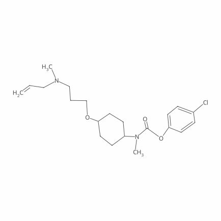 C=CCN(C)CCCOC1CCC(N(C)C(=O)Oc2ccc(Cl)cc2)CC1